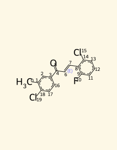 Cc1cc(C(=O)/C=C/c2c(F)cccc2Cl)ccc1Cl